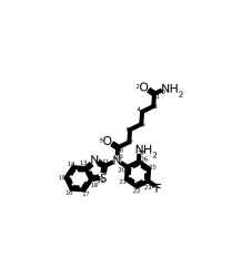 NC(=O)CCCCCC(=O)N(c1nc2ccccc2s1)c1ccc(F)cc1N